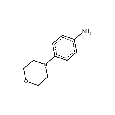 Nc1[c]cc(N2CCOCC2)cc1